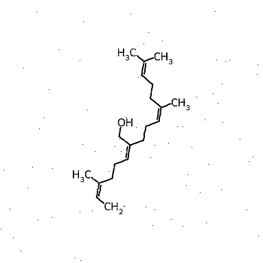 [CH2]C=C(C)CCC=C(CO)CCC=C(C)CCC=C(C)C